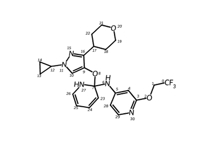 FC(F)(F)COc1cc(NC2(Oc3cn(C4CC4)nc3C3CCOCC3)C=CC=CN2)ccn1